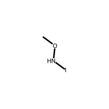 CONI